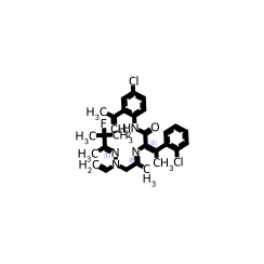 C=CN(C/C(C)=N/C(C(=O)Nc1ccc(Cl)cc1C(=C)C)=C(\C)c1ccccc1Cl)/N=C(\C)C(C)(C)F